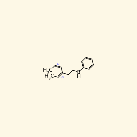 C/C=C\C(=C/C)CCBc1ccccc1